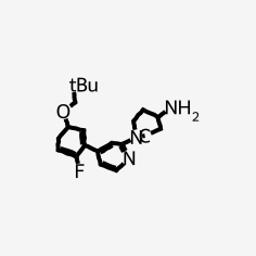 CC(C)(C)COC1C=C(c2ccnc(N3CCC(N)CC3)c2)C(F)=CC1